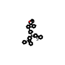 c1ccc(-n2c3ccccc3c3cc(N(c4ccc(-c5cccc6c5-c5ccccc5C65C6CC7CC(C6)CC5C7)cc4)c4ccc5c(c4)sc4ccccc45)ccc32)cc1